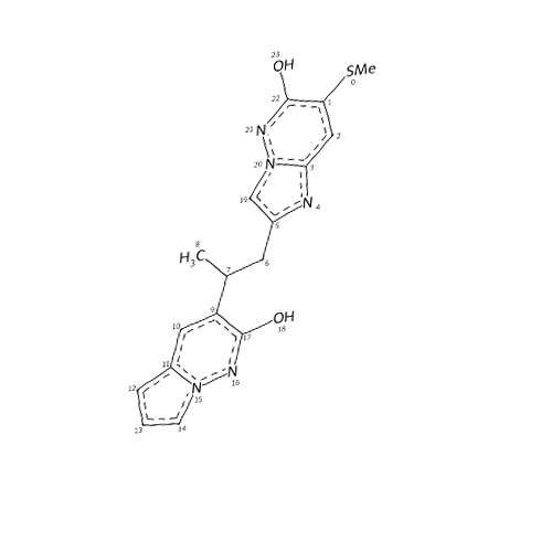 CSc1cc2nc(CC(C)c3cc4cccn4nc3O)cn2nc1O